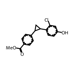 COC(=O)c1ccc(C2CC2c2ccc(O)cc2Cl)cc1